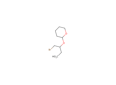 O=C(O)CC(CBr)OC1CCCCO1